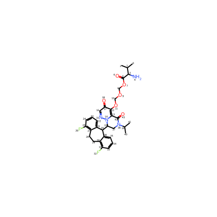 CC(C)C(N)C(=O)OCOCOc1c2n(ncc1=O)C(C1c3cccc(F)c3CCc3c(F)cccc31)CN(C(C)C)C2=O